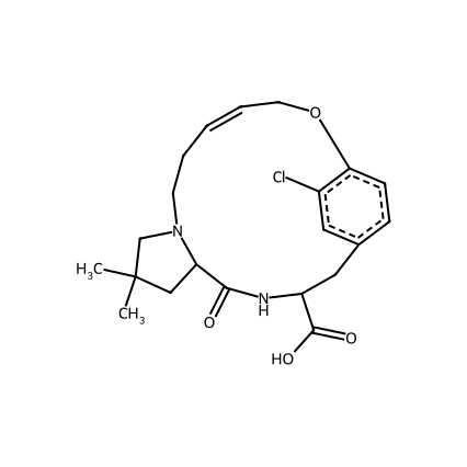 CC1(C)CC2C(=O)NC(C(=O)O)Cc3ccc(c(Cl)c3)OCC=CCCN2C1